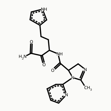 CC1=NCC(C(=O)NC(CCc2cc[nH]c2)C(=O)C(N)=O)N1c1ccccn1